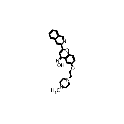 CN1CCN(CCOc2ccc3oc(-c4cc5ccccc5cn4)c/c(=N/O)c3c2)CC1